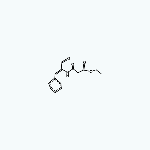 CCOC(=O)CC(=O)NC([C]=O)=Cc1ccccc1